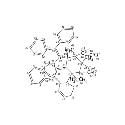 CC12C(=C3Cc4ccccc4C3=C3C=CCCC31)[C](C)([Ti+2]([C]1=CC=CC1)=[C](c1ccccc1)c1ccccc1)C(C)(C)C(C)(C)C2(C)C.[Cl-].[Cl-]